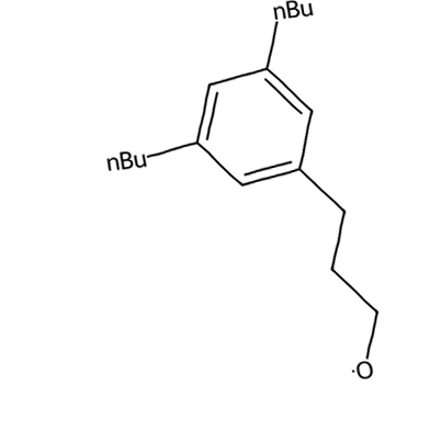 CCCCc1cc(CCCC)cc(CCC[O])c1